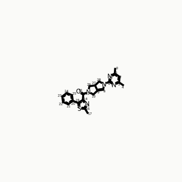 Cc1cc(C)nc(N2C=C3CN(C(=O)c4nc(C)sc4-c4ccccc4)CC3C2)n1